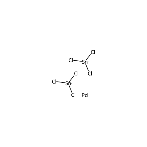 [Cl][Sn]([Cl])[Cl].[Cl][Sn]([Cl])[Cl].[Pd]